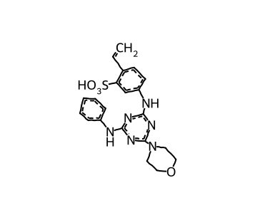 C=Cc1ccc(Nc2nc(Nc3ccccc3)nc(N3CCOCC3)n2)cc1S(=O)(=O)O